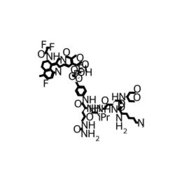 CC[C@@]1(OP(=O)(O)OCc2ccc(NC(=O)[C@H](CCCNC(N)=O)NC(=O)[C@@H](NCC(=O)[C@H](CC(=O)N[C@H]3CCOC(=O)C3)NC(=O)[C@@H](N)CCCCN(C)C)C(C)C)cc2)C(=O)OCc2c1cc1n(c2=O)Cc2c-1nc1cc(F)c(C)c3c1c2[C@@H](NC(=O)C(F)F)CC3